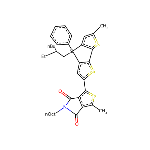 CCCCCCCCN1C(=O)c2c(C)sc(-c3cc4c(s3)-c3sc(C)cc3[Si]4(CC(CC)CCCC)c3ccccc3)c2C1=O